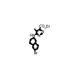 CCOC(=O)c1ncnc(Nc2ccc3cc(Br)ccc3c2)c1C